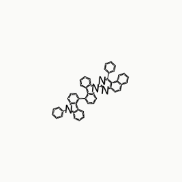 c1ccc(-c2nc(-n3c4ccccc4c4c(-c5cccc6c5c5ccccc5n6-c5ccccc5)cccc43)nc3ccc4ccccc4c23)cc1